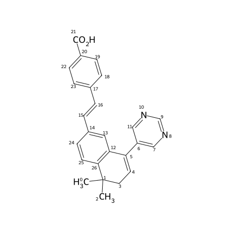 CC1(C)CC=C(c2cncnc2)c2cc(C=Cc3ccc(C(=O)O)cc3)ccc21